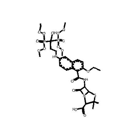 CCOc1ccc2cc(NCCC(O)(P(=O)(OOC)OOC)P(=O)(OOC)OOC)ccc2c1C(=O)NC1C(=O)N2C1SC(C)(C)C2C(=O)O